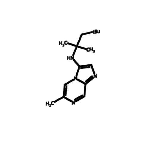 Cc1cn2c(NC(C)(C)CC(C)(C)C)cnc2cn1